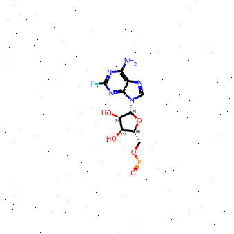 Nc1nc(F)nc2c1ncn2[C@@H]1O[C@H](COP=O)[C@@H](O)[C@H]1O